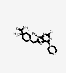 CCn1c(CN2CCC(C)(C(N)=O)CC2)nc2c(N3CCOCC3)nc(Cl)nc21